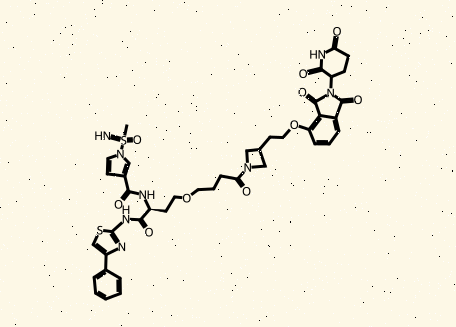 CS(=N)(=O)n1ccc(C(=O)N[C@@H](CCOCCCC(=O)N2CC(CCOc3cccc4c3C(=O)N(C3CCC(=O)NC3=O)C4=O)C2)C(=O)Nc2nc(-c3ccccc3)cs2)c1